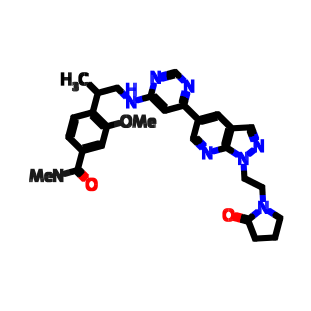 CNC(=O)c1ccc(C(C)CNc2cc(-c3cnc4c(cnn4CCN4CCCC4=O)c3)ncn2)c(OC)c1